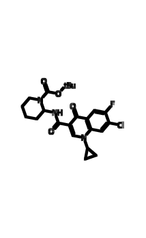 CC(C)(C)OC(=O)N1CCCCC1NC(=O)c1cn(C2CC2)c2cc(Cl)c(F)cc2c1=O